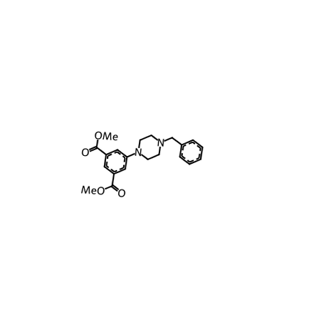 COC(=O)c1cc(C(=O)OC)cc(N2CCN(Cc3ccccc3)CC2)c1